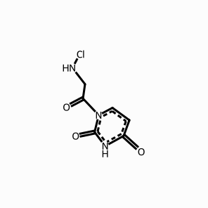 O=C(CNCl)n1ccc(=O)[nH]c1=O